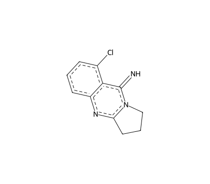 N=c1c2c(Cl)cccc2nc2n1CCC2